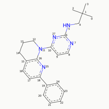 CC(C)(C)CNc1nccc(N2CCCc3ccc(-c4ccccc4)nc32)n1